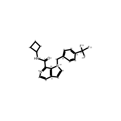 O=C(NC1CCC1)c1nccc2ccn(Cc3ccc(C(F)(F)F)cc3)c12